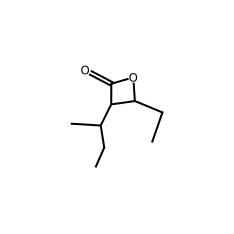 CCC(C)C1C(=O)OC1CC